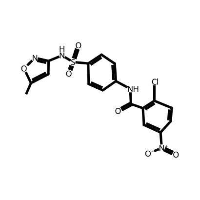 Cc1cc(NS(=O)(=O)c2ccc(NC(=O)c3cc([N+](=O)[O-])ccc3Cl)cc2)no1